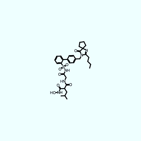 CCCCC1=NC2(CCCC2)C(=O)N1Cc1ccc(-c2ccccc2S(=O)(=O)NC(=O)CNC(=O)C(CC(C)C)C(=O)NO)cc1